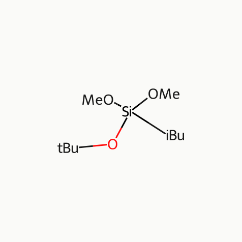 CCC(C)[Si](OC)(OC)OC(C)(C)C